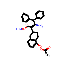 CC(=O)OOc1cccc2c1CCC(C(C(=O)ON)=C(N)C(c1ccccc1)c1ccccc1)C2